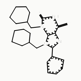 O=c1[nH]c(=O)n(CC2CCCCC2)c2c1nc(-c1[c]cccc1)n2CC1CCCCC1